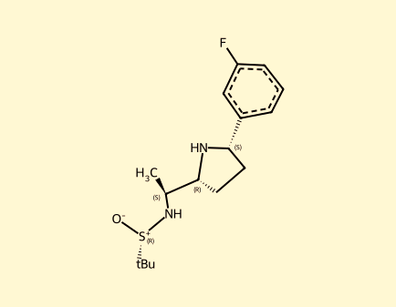 C[C@H](N[S@@+]([O-])C(C)(C)C)[C@H]1CC[C@@H](c2cccc(F)c2)N1